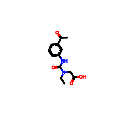 CCN(CC(=O)O)C(=O)Nc1cccc(C(C)=O)c1